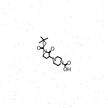 CC(C)(C)OC(=O)N1CCC(N2CCN(C(=O)O)CC2)C1=O